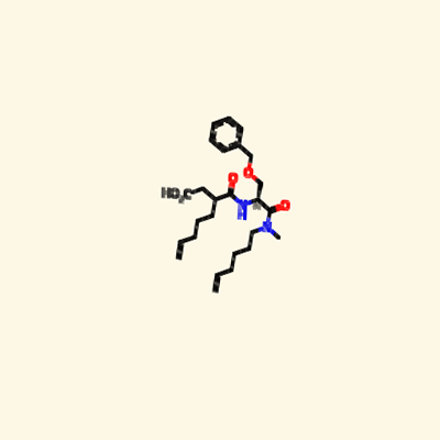 C=CCCCCN(C)C(=O)[C@H](COCc1ccccc1)NC(=O)C(CCCC=C)CC(=O)O